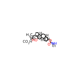 CCNC(=O)O[C@@H]1CC[C@@]2(C)[C@H](CC[C@@H]3[C@@H]2C[C@H](O)[C@]2(C)[C@@H]([C@H](C)CCC(=O)O)CC[C@@H]32)C1